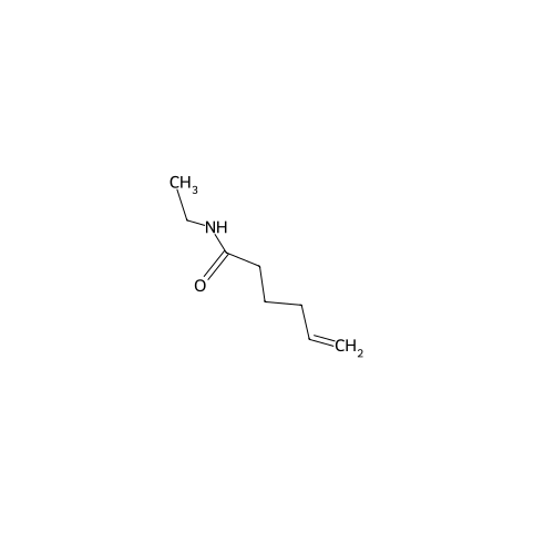 C=CCCCC(=O)NCC